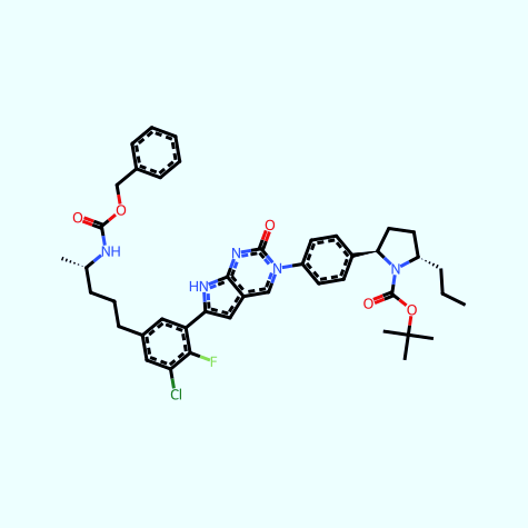 CCC[C@H]1CC[C@H](c2ccc(-n3cc4cc(-c5cc(CCC[C@H](C)NC(=O)OCc6ccccc6)cc(Cl)c5F)[nH]c4nc3=O)cc2)N1C(=O)OC(C)(C)C